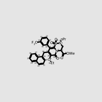 CCCN1CC(C(=O)OC)n2c(c(-c3cccc(C(F)(F)F)c3)c(Cc3cccc4ccccc34)c(OCC)c2=O)S1(=O)=O